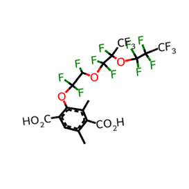 Cc1cc(C(=O)O)c(OC(F)(F)C(F)OC(F)(F)C(F)(OC(F)(F)C(F)(F)C(F)(F)F)C(F)(F)F)c(C)c1C(=O)O